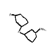 CC(=O)NC1CCCC(OC2CCCC(F)C2)C1